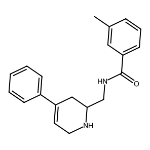 Cc1cccc(C(=O)NCC2CC(c3ccccc3)=CCN2)c1